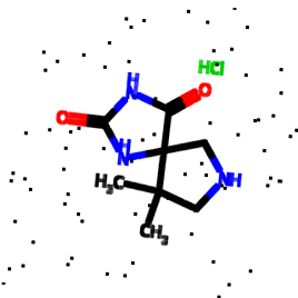 CC1(C)CNCC12NC(=O)NC2=O.Cl